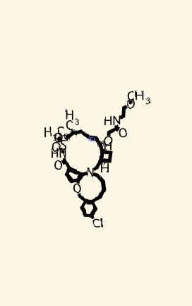 COCCNC(=O)CO[C@H]1/C=C/C[C@H](C)[C@@H](C)S(=O)(=O)NC(=O)c2ccc3c(c2)N(CCCCc2cc(Cl)ccc2CO3)C[C@@H]2CC[C@H]21